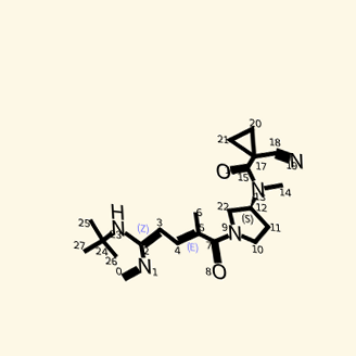 C=N/C(=C\C=C(/C)C(=O)N1CC[C@H](N(C)C(=O)C2(C#N)CC2)C1)NC(C)(C)C